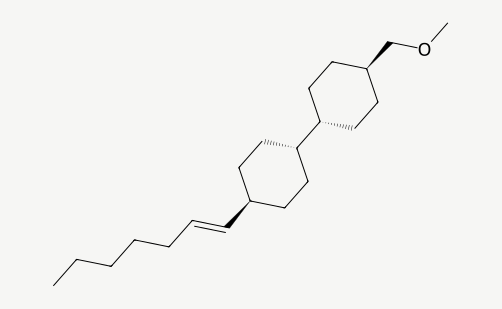 CCCCCC=C[C@H]1CC[C@H]([C@H]2CC[C@H](COC)CC2)CC1